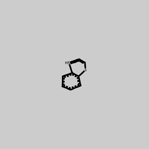 C1=CSc2ccccc2[SH]=1